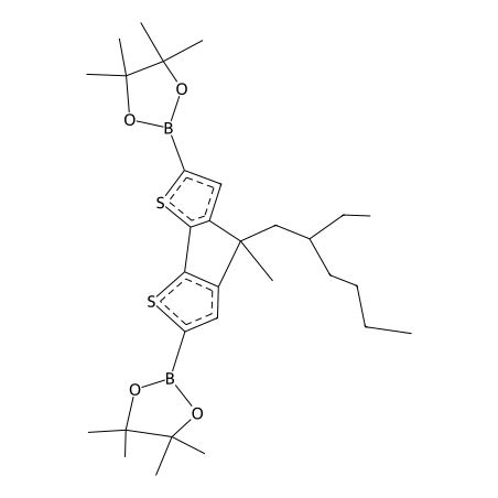 CCCCC(CC)CC1(C)c2cc(B3OC(C)(C)C(C)(C)O3)sc2-c2sc(B3OC(C)(C)C(C)(C)O3)cc21